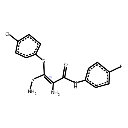 NS/C(Sc1ccc(Cl)cc1)=C(\N)C(=O)Nc1ccc(F)cc1